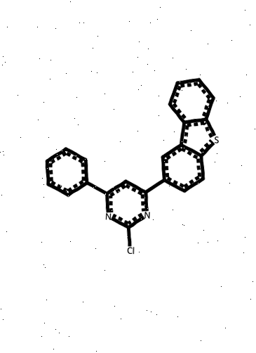 Clc1nc(-c2ccccc2)cc(-c2ccc3sc4ccccc4c3c2)n1